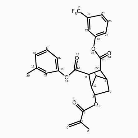 C=C(C)C(=O)OC1CC2CC1C(C(=O)Oc1cccc(C)c1)C2C(=O)Oc1cccc(C(F)(F)F)c1